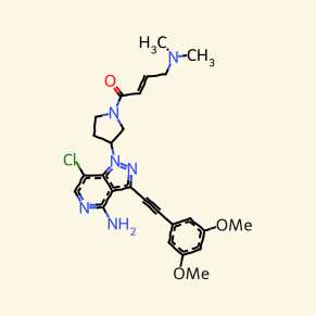 COc1cc(C#Cc2nn(C3CCN(C(=O)/C=C/CN(C)C)C3)c3c(Cl)cnc(N)c23)cc(OC)c1